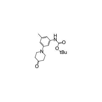 Cc1cc(NC(=O)OC(C)(C)C)cc(N2CCC(=O)CC2)c1